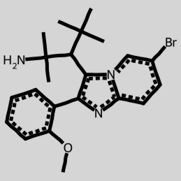 COc1ccccc1-c1nc2ccc(Br)cn2c1C(C(C)(C)C)C(C)(C)N